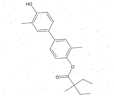 CCC(C)(CC)C(=O)Oc1ccc(-c2ccc(O)c(C)c2)cc1C